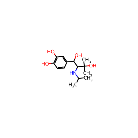 CC(C)NC(C(O)c1ccc(O)c(O)c1)C(C)(C)O